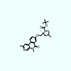 Cc1cc2c3ccc(OC[C@](C)(CC(C)C)NC(=O)OC(C)(C)C)cc3c(=O)n(C)c2cn1